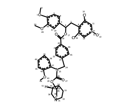 COc1ccc(C(Cc2c(Cl)c[n+]([O-])cc2Cl)OC(=O)c2ccc(CN(C(=O)O[C@H]3CN4CCC3CC4)c3ccccc3OC)cc2)cc1OC